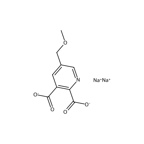 COCc1cnc(C(=O)[O-])c(C(=O)[O-])c1.[Na+].[Na+]